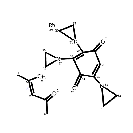 CC(=O)/C=C(/C)O.O=C1C=C(N2CC2)C(=O)C(N2CC2)=C1N1CC1.[Rh]